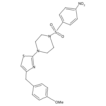 COc1ccc(Cc2csc(N3CCN(S(=O)(=O)c4ccc([N+](=O)[O-])cc4)CC3)n2)cc1